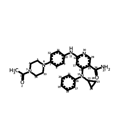 CC(=O)N1CCN(c2ccc(Nc3cc(N(c4ccccc4)C4CC4)c(C(N)=O)cn3)cc2)CC1